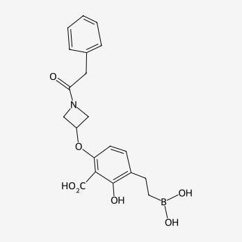 O=C(O)c1c(OC2CN(C(=O)Cc3ccccc3)C2)ccc(CCB(O)O)c1O